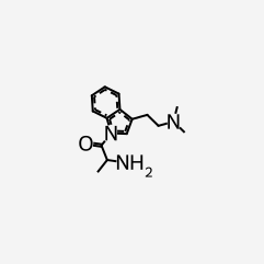 CC(N)C(=O)n1cc(CCN(C)C)c2ccccc21